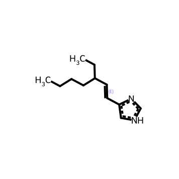 CCCCC(/C=C/c1c[nH]cn1)CC